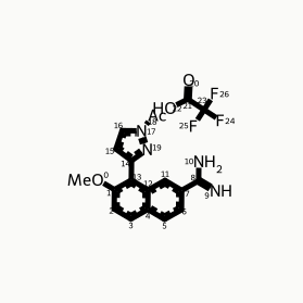 COc1ccc2ccc(C(=N)N)cc2c1-c1ccn(C(C)=O)n1.O=C(O)C(F)(F)F